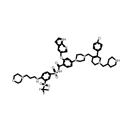 O=C(NS(=O)(=O)c1ccc(NCCCN2CCOCC2)c(S(=O)(=O)C(F)(F)F)c1)c1ccc(N2CCN(CC3=C(c4ccc(Cl)cc4)CN(CC4CCNCC4)CC3)CC2)cc1Oc1cnc2[nH]ccc2c1